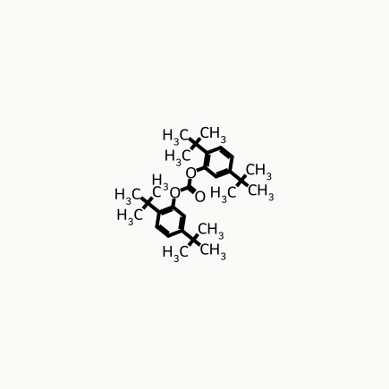 CC(C)(C)c1ccc(C(C)(C)C)c(OC(=O)Oc2cc(C(C)(C)C)ccc2C(C)(C)C)c1